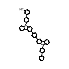 N#Cc1cccc(-c2ccc(-n3c4ccccc4c4cc(-c5ccc(-c6ccc7c(c6)c6ccccc6n7-c6ccc(-c7ccccc7)cc6)cc5)ccc43)cc2)c1